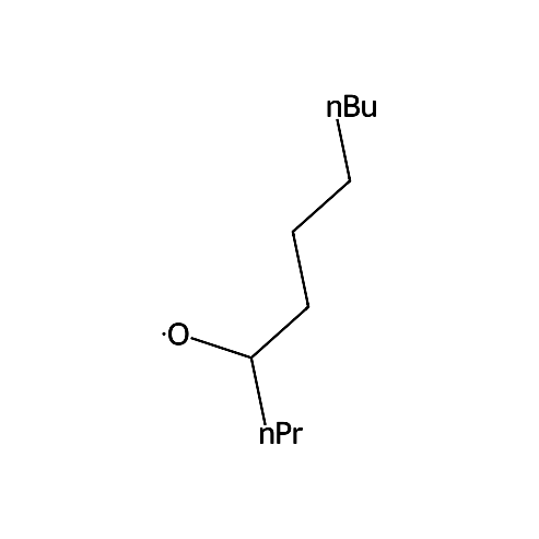 CCCCCCCC([O])CCC